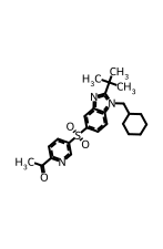 CC(=O)c1ccc(S(=O)(=O)c2ccc3c(c2)nc(C(C)(C)C)n3CC2CCCCC2)cn1